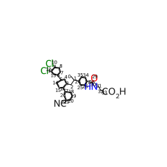 CC(Cc1cc(-c2ccc(Cl)c(Cl)c2)ccc1-c1cccc(C#N)c1)c1ccc(C(=O)NCCC(=O)O)cc1